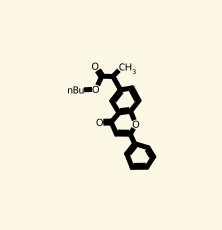 CCCCOC(=O)C(C)c1ccc2oc(-c3ccccc3)cc(=O)c2c1